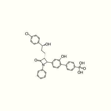 O=C1[C@H](CC[C@H](O)c2ccc(Cl)cc2)C(c2ccc(-c3ccc(P(=O)(O)O)cc3)c(O)c2)N1c1ccccc1